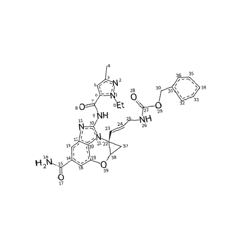 CCn1nc(C)cc1C(=O)Nc1nc2cc(C(N)=O)cc3c2n1[C@]1(/C=C/CNC(=O)OCc2ccccc2)CC1O3